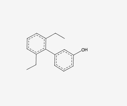 CCc1cccc(CC)c1-c1cccc(O)c1